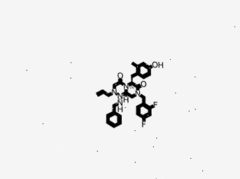 C=CCN1CC(=O)N2[C@@H](Cc3ccc(O)cc3C)C(=O)N(Cc3ccc(F)cc3F)C[C@@H]2N1NCc1ccccc1